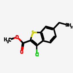 BCc1ccc2c(Cl)c(C(=O)OC)sc2c1